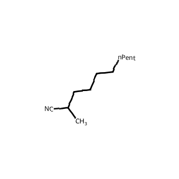 CCCCCCCCCC(C)C#N